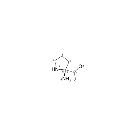 CC(=O)[C@@]1(N)CCCN1